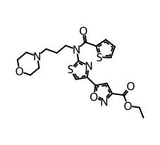 CCOC(=O)c1cc(-c2csc(N(CCCN3CCOCC3)C(=O)c3cccs3)n2)on1